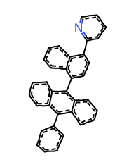 c1ccc(-c2c3ccccc3c(-c3ccc(-c4ccccn4)c4ccccc34)c3ccccc23)cc1